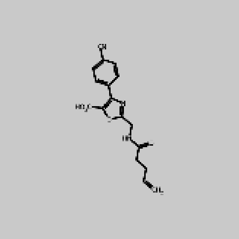 C=CCCC(=O)NCc1nc(-c2ccc(C#N)cc2)c(C(=O)O)o1